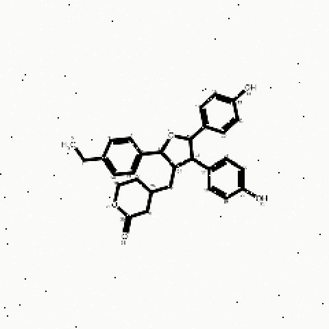 CCc1ccc(C2OC(c3ccc(O)cc3)C(c3ccc(O)cc3)C2CC2CCOC(=O)C2)cc1